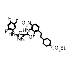 CCOC(=O)C1CCC(CCc2ccc([N+](=O)[O-])c(NC(=O)c3nnc(Nc4cc(F)c(F)cc4F)o3)c2F)CC1